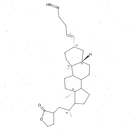 C[C@H](CC1CCOC1=O)C1CCC2C3CC[C@H]4C[C@@H](/C=C/CCN=N)CC[C@]4(C)C3CC[C@@]21C